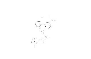 CS(=O)(=O)N[C@@H]1CCN(C(=O)[C@@H]2C[C@H]2c2ccc(C(F)F)cc2-c2c(F)cccc2F)C1